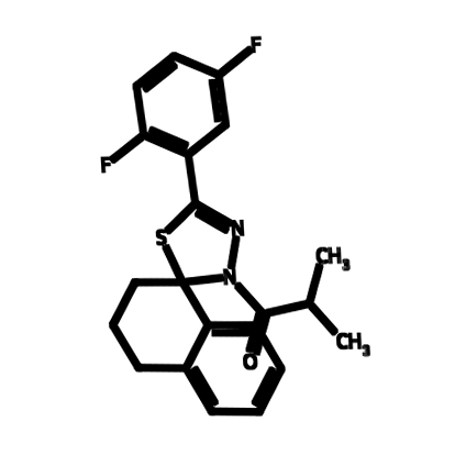 CC(C)C(=O)N1N=C(c2cc(F)ccc2F)SC12CCCc1ccccc12